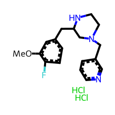 COc1cc(CC2CN(Cc3cccnc3)CCN2)ccc1F.Cl.Cl